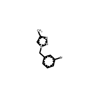 Cc1cn(Cc2cccc(Br)c2)nn1